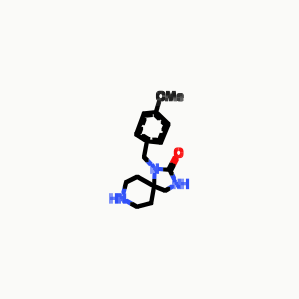 COc1ccc(CN2C(=O)NCC23CCNCC3)cc1